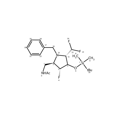 CC(=O)NC[C@@H]1[C@@H](F)C(O[Si](C)(C)C(C)(C)C)[C@@H](C(F)F)N1Cc1ccccc1